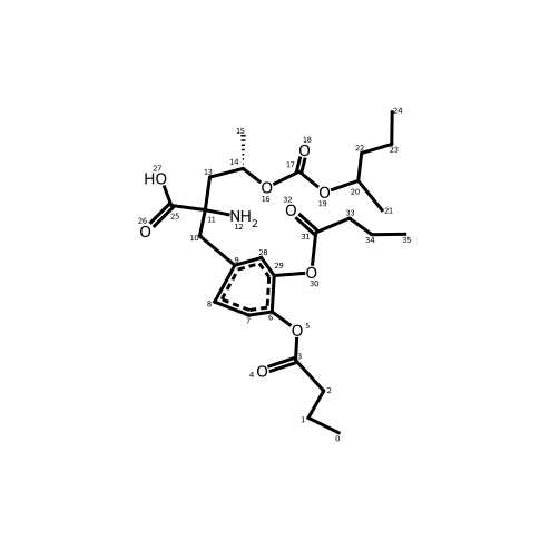 CCCC(=O)Oc1ccc(CC(N)(C[C@H](C)OC(=O)OC(C)CCC)C(=O)O)cc1OC(=O)CCC